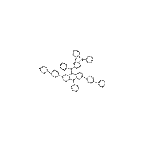 c1ccc(-c2ccc(-c3ccc4c(N(c5ccccc5)c5ccc6c(c5)c5ccccc5n6-c5ccccc5)c5cc(-c6ccc(-c7ccccc7)cc6)ccc5c(-c5ccccc5)c4c3)cc2)cc1